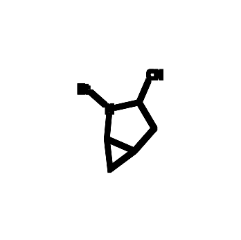 CCN1C(C#N)CC2CC21